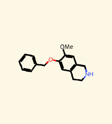 COc1cc2c(cc1OCc1ccccc1)CCNC2